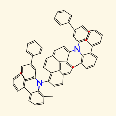 Cc1cccc(-c2ccccc2)c1N(c1cccc(-c2ccccc2)c1)c1ccc2ccc3c(N(c4cccc(-c5ccccc5)c4)c4c(C)cccc4-c4ccccc4)ccc4ccc1c2c43